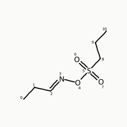 CCC=NOS(=O)(=O)CCC